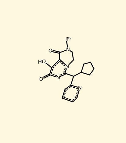 CC(C)N1CCn2c(C(c3ccccn3)C3CCCC3)nc(=O)c(O)c2C1=O